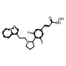 O=C(/C=C/c1cc(F)c(C2CCCN2CCc2cnn3ccccc23)c(F)c1)NO